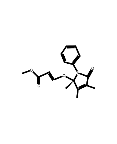 COC(=O)/C=C/O[C@@]1(C)C(C)=C(C)C(=O)N1c1ccccc1